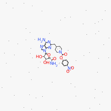 NC(=O)[C@H]1O[C@@H](n2cnc3c(N)nc(CC4CCN(C(=O)Oc5ccc([N+](=O)[O-])cc5)CC4)nc32)C(O)C1O